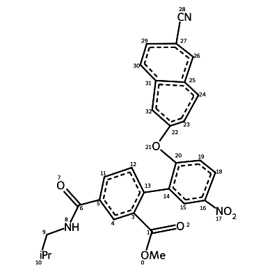 COC(=O)c1cc(C(=O)NCC(C)C)ccc1-c1cc([N+](=O)[O-])ccc1Oc1ccc2cc(C#N)ccc2c1